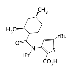 CC(C)N(C(=O)C1CC[C@H](C)C[C@@H]1C)c1cc(C(C)(C)C)sc1C(=O)O